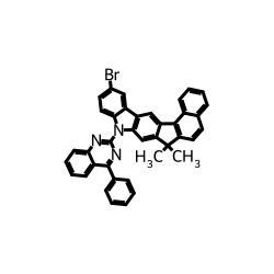 CC1(C)c2cc3c(cc2-c2c1ccc1ccccc21)c1cc(Br)ccc1n3-c1nc(-c2ccccc2)c2ccccc2n1